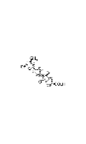 CCC1CC(C)OC(c2ccc(N3C(=O)c4ccc(C(=O)O)cc4C3=O)cc2)O1